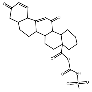 CS(=O)(=O)NC(=O)OC(=O)C12CCCCC1C1C(=O)C=C3C4C=CC(=O)CC4CCC3C1CC2